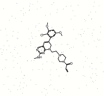 C=CC(=O)N1CCN(CCN2CC(c3cc(OC)cc(OC)c3Cl)=Cc3cnc(NC)nc32)CC1